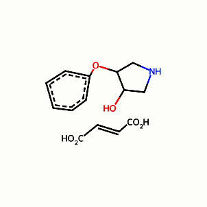 O=C(O)C=CC(=O)O.OC1CNCC1Oc1ccccc1